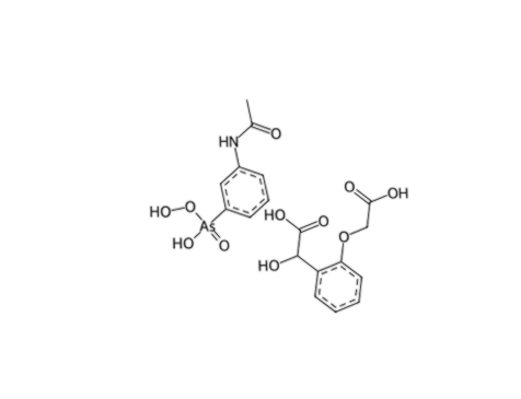 CC(=O)Nc1cccc([As](=O)(O)OO)c1.O=C(O)COc1ccccc1C(O)C(=O)O